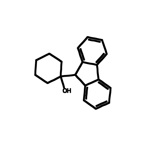 OC1(C2c3ccccc3-c3ccccc32)CCCCC1